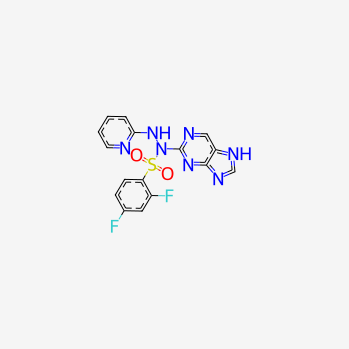 O=S(=O)(c1ccc(F)cc1F)N(Nc1ccccn1)c1ncc2[nH]cnc2n1